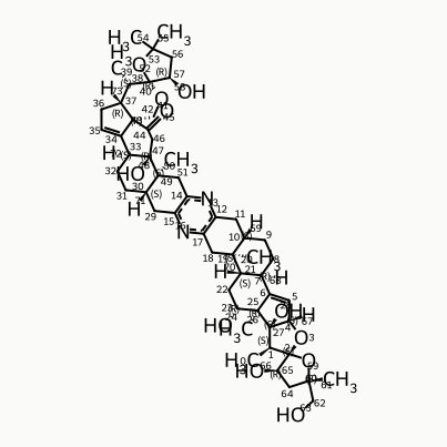 C[C@@H]1[C@]2(O[C@H]3C=C4[C@@H]5CC[C@H]6Cc7nc8c(nc7C[C@]6(C)[C@H]5C[C@@H](O)[C@]4(C)[C@]31O)C[C@@H]1CC[C@H]3C4=CC[C@@H]5[C@H](C)[C@@]6(OC[C@]45C(=O)C[C@]3(O)[C@@]1(C)C8)OC(C)(C)C[C@H]6O)O[C@](C)(CO)C[C@H]2O